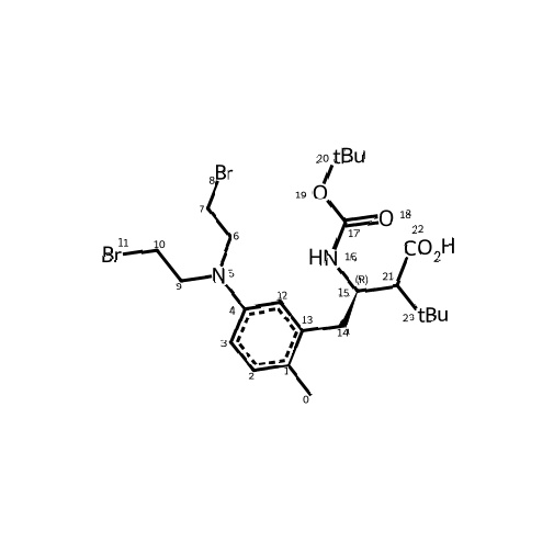 Cc1ccc(N(CCBr)CCBr)cc1C[C@@H](NC(=O)OC(C)(C)C)C(C(=O)O)C(C)(C)C